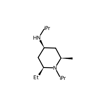 CC[C@H]1C[C@@H](NC(C)C)C[C@@H](C)N1C(C)C